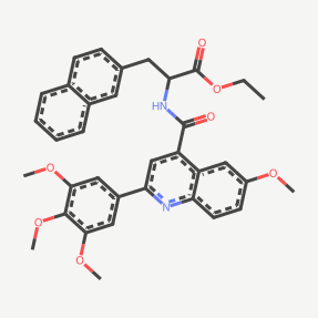 CCOC(=O)C(Cc1ccc2ccccc2c1)NC(=O)c1cc(-c2cc(OC)c(OC)c(OC)c2)nc2ccc(OC)cc12